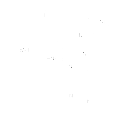 CNc1cc(F)cc2c1[nH]c1nc(Oc3cnc(C)nc3)nc(N3CCC(C)(N)C3)c12